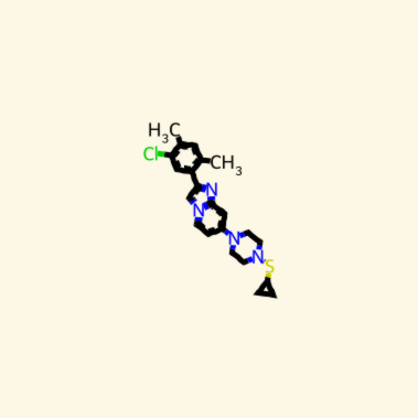 Cc1cc(C)c(-c2cn3ccc(N4CCN(SC5CC5)CC4)cc3n2)cc1Cl